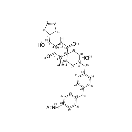 CCCCN1C(=O)[C@@H]([C@H](O)C2CC=CC2)NC(=O)C12CCN(Cc1ccc(Cc3ccc(NC(C)=O)cc3)cc1)CC2.Cl